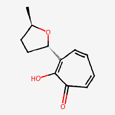 C[C@@H]1CC[C@@H](c2ccccc(=O)c2O)O1